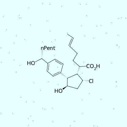 CC=CCCC(C(=O)O)[C@H]1[C@@H](c2ccc([C@H](O)CCCCC)cc2)[C@H](O)C[C@H]1Cl